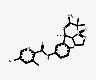 Cc1cc(C#N)cnc1C(=O)Nc1ccc(F)c([C@@]2(C)N=C(N)C(C)(C)[S@@]3(=O)=NCCC23)c1